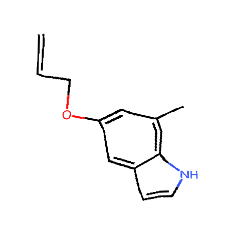 C=CCOc1cc(C)c2[nH]ccc2c1